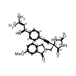 COc1ccc2c(c1)C(=O)N(C[C@@]1(C#Cc3ccc(C(=N)C=C(N)N)cc3)NC(=O)NC1=O)C2